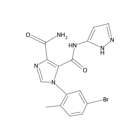 Cc1ccc(Br)cc1-n1cnc(C(N)=O)c1C(=O)Nc1ccn[nH]1